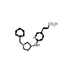 O=C(O)C=Cc1ccc(N[C@H]2CCN(Cc3ccccc3)C2)nc1